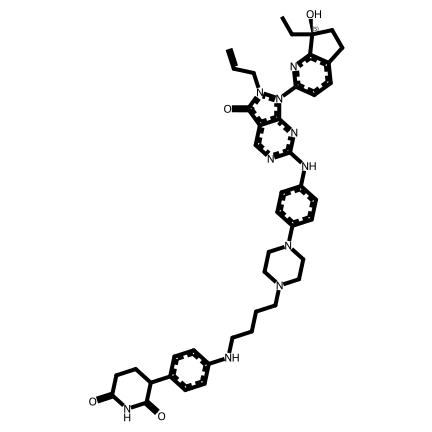 C=CCn1c(=O)c2cnc(Nc3ccc(N4CCN(CCCCNc5ccc(C6CCC(=O)NC6=O)cc5)CC4)cc3)nc2n1-c1ccc2c(n1)[C@](O)(CC)CC2